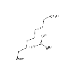 CCCCCCCCCCCCCCCCCC(=O)O.CCCN(CCC)CCC